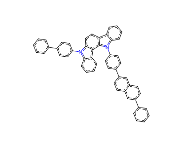 c1ccc(-c2ccc(-n3c4ccccc4c4c3ccc3c5ccccc5n(-c5ccc(-c6ccc7cc(-c8ccccc8)ccc7c6)cc5)c34)cc2)cc1